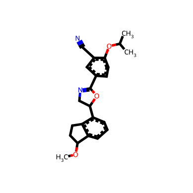 COC1CCc2c1cccc2C1CN=C(c2ccc(OC(C)C)c(C#N)c2)O1